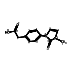 Cn1ccn(-c2ccc(CC(=O)O)cc2)c1=O